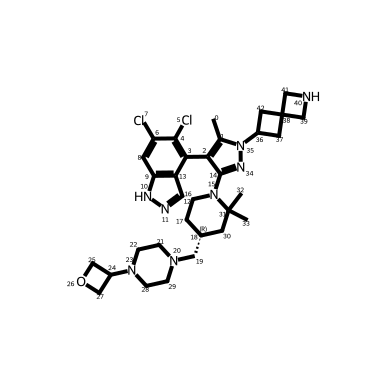 Cc1c(-c2c(Cl)c(Cl)cc3[nH]ncc23)c(N2CC[C@@H](CN3CCN(C4COC4)CC3)CC2(C)C)nn1C1CC2(CNC2)C1